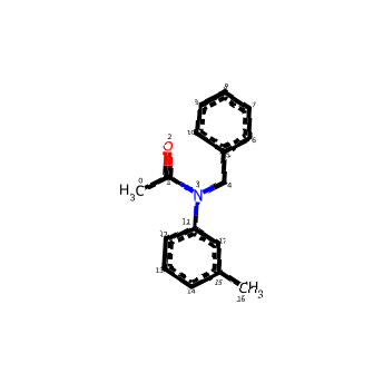 CC(=O)N(Cc1ccccc1)c1cccc(C)c1